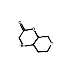 O=C1CNC2CCOCC2O1